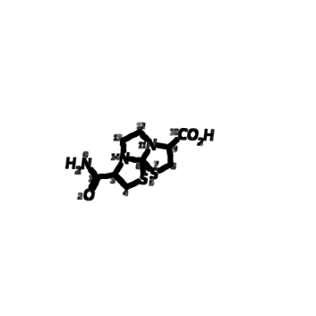 NC(=O)C1CSC23SCC(C(=O)O)N2CCN13